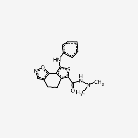 CN(C)NC(=O)c1sc(Nc2ccccc2)c2c1CCc1cnoc1-2